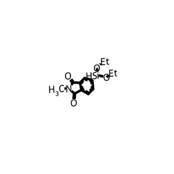 CCO[SiH](OCC)c1ccc2c(c1)C(=O)N(C)C2=O